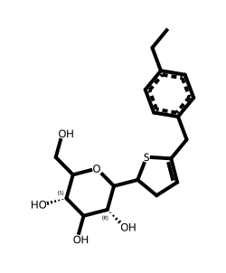 CCc1ccc(CC2=CCC(C3OC(CO)[C@@H](O)C(O)[C@H]3O)S2)cc1